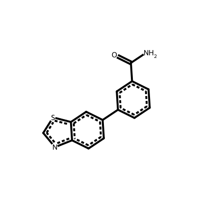 NC(=O)c1cccc(-c2ccc3ncsc3c2)c1